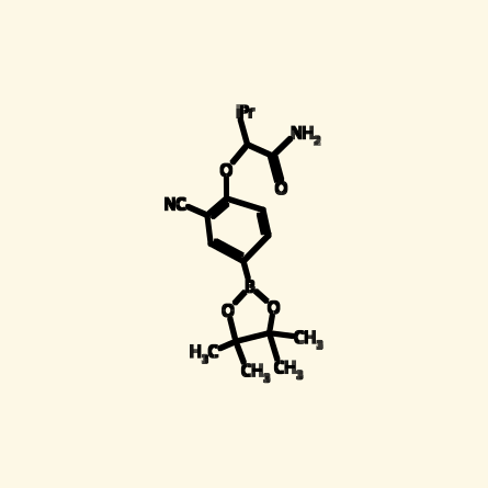 CC(C)C(Oc1ccc(B2OC(C)(C)C(C)(C)O2)cc1C#N)C(N)=O